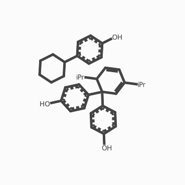 CC(C)C1=CC(c2ccc(O)cc2)(c2ccc(O)cc2)C(C(C)C)C=C1.Oc1ccc(C2CCCCC2)cc1